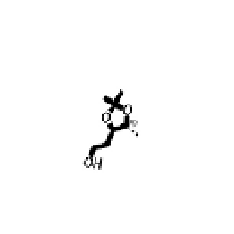 C[C@H]1OC(C)(C)OC1CCO